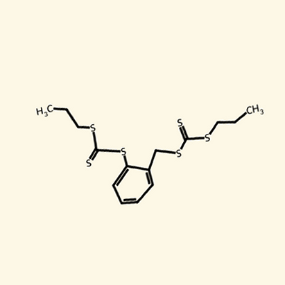 CCCSC(=S)SCc1ccccc1SC(=S)SCCC